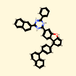 c1ccc(-c2nc(-c3ccc4ccccc4c3)nc(-c3ccc4c(c3)oc3cccc(-c5ccc(-c6cccc7ccccc67)cc5)c34)n2)cc1